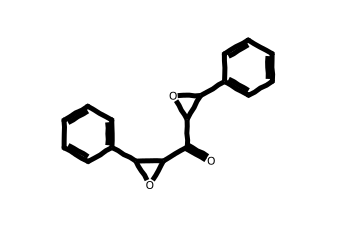 O=C(C1OC1c1ccccc1)C1OC1c1ccccc1